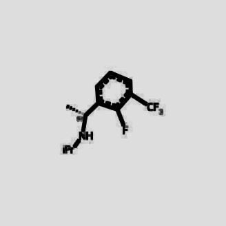 CC(C)N[C@H](C)c1cccc(C(F)(F)F)c1F